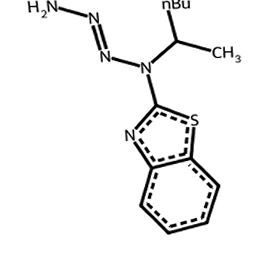 CCCCC(C)N(N=NN)c1nc2ccccc2s1